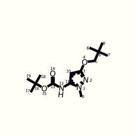 Cn1nc(OCC(C)(C)C)cc1NC(=O)OC(C)(C)C